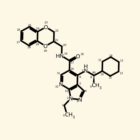 CCn1ncc2c(N[C@H](C)C3CCCCC3)c(C(=O)NCC3COc4ccccc4O3)cnc21